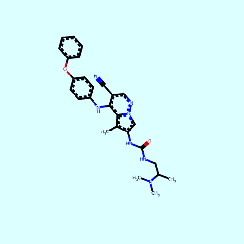 Cc1c(NC(=O)NCC(C)N(C)C)cn2ncc(C#N)c(Nc3ccc(Oc4ccccc4)cc3)c12